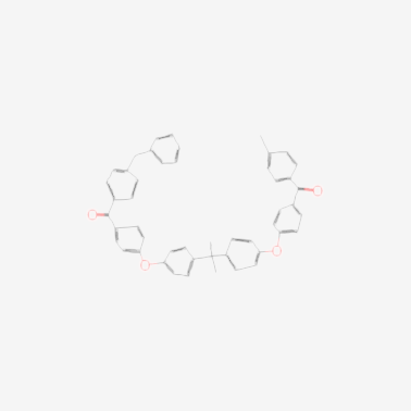 Cc1ccc(C(=O)c2ccc(Oc3ccc(C(C)(C)c4ccc(Oc5ccc(C(=O)c6ccc(Cc7ccccc7)cc6)cc5)cc4)cc3)cc2)cc1